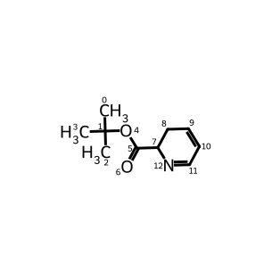 CC(C)(C)OC(=O)C1CC=CC=N1